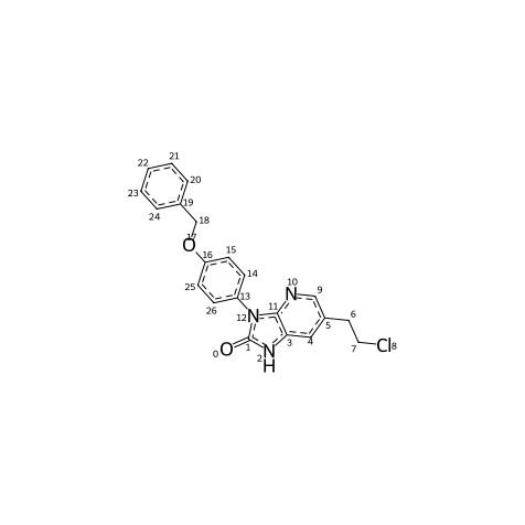 O=c1[nH]c2cc(CCCl)cnc2n1-c1ccc(OCc2ccccc2)cc1